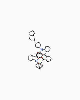 c1ccc(-c2c3ccccc3c(-c3ccccc3N(c3ccc(-c4ccc5ccccc5c4)cc3)c3ccc4c(c3)c3ccccc3n4-c3ccccc3)c3ccccc23)cc1